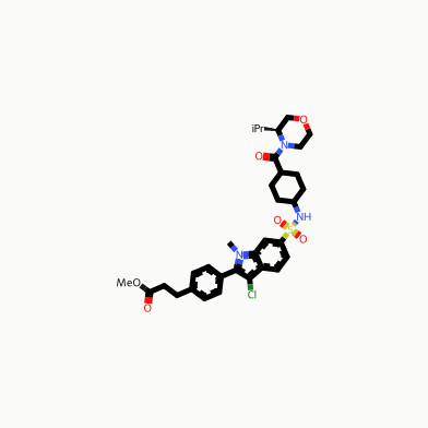 COC(=O)CCc1ccc(-c2c(Cl)c3ccc(S(=O)(=O)NC4CCC(C(=O)N5CCOC[C@@H]5C(C)C)CC4)cc3n2C)cc1